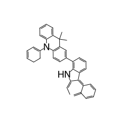 C=c1cccc/c1=c1/c(=C\C)[nH]c2c(-c3ccc4c(c3)C(C)(C)c3ccccc3N4C3=CC=CCC3)cccc12